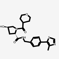 Cc1ncsc1-c1ccc(CNC(=O)[C@@H]2C[C@@H](O)CN2C(=O)C2CCOCC2)cc1